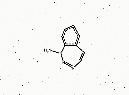 NN1N=NC=Cc2ccccc21